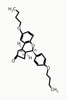 CCCCOc1ccc([C@@H]2Oc3ccc(OCCCC)cc3[C@@H]3CC(=O)C[C@@H]32)cc1